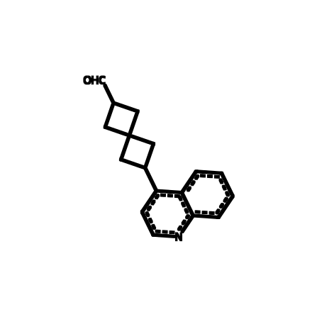 O=CC1CC2(C1)CC(c1ccnc3ccccc13)C2